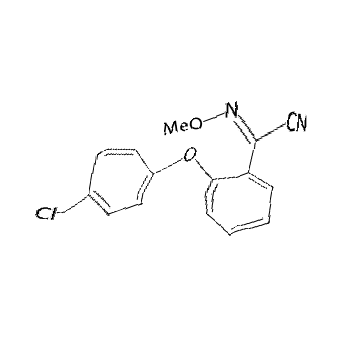 CO/N=C(/C#N)c1ccccc1Oc1ccc(Cl)cc1